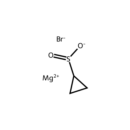 O=S([O-])C1CC1.[Br-].[Mg+2]